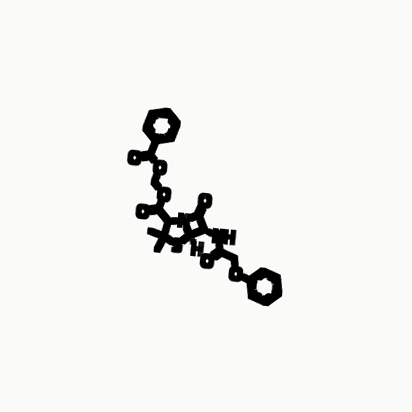 CC1(C)S[C@@H]2[C@H](NC(=O)COc3ccccc3)C(=O)N2C1C(=O)OCOC(=O)c1ccccc1